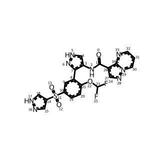 O=C(Nc1c[nH]nc1-c1cc(S(=O)(=O)c2cn[nH]c2)ccc1OC(F)F)c1cnn2cccnc12